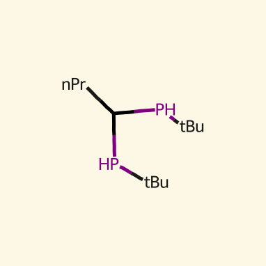 CCCC(PC(C)(C)C)PC(C)(C)C